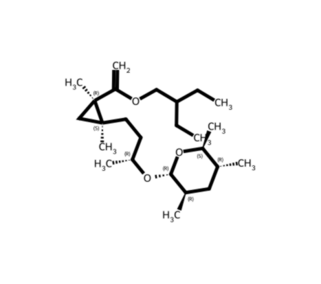 C=C(OCC(CC)CC)[C@]1(C)C[C@]1(C)CC[C@@H](C)O[C@@H]1O[C@@H](C)[C@H](C)C[C@H]1C